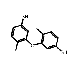 Cc1ccc(S)cc1Oc1cc(S)ccc1C